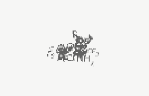 C=C(C)C#Cc1ccc(-c2ccc(Cl)c3c(N)nn(CC(F)(F)F)c23)c(C(Cc2cc(F)cc(F)c2)NC(=O)Cn2nc(C(F)(F)F)c3c2C(F)(F)C2CC32)n1